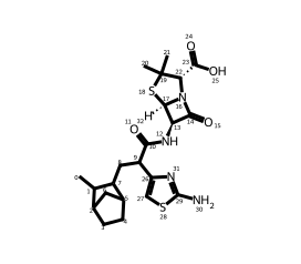 CC1C2CCC(C2)C1CC(C(=O)N[C@@H]1C(=O)N2[C@@H]1SC(C)(C)[C@@H]2C(=O)O)c1csc(N)n1